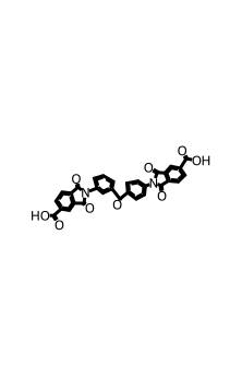 O=C(O)c1ccc2c(c1)C(=O)N(c1ccc(C(=O)c3cccc(N4C(=O)c5ccc(C(=O)O)cc5C4=O)c3)cc1)C2=O